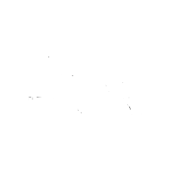 CCOC(=O)[C@@H]1C[C@H]1c1cc(F)c(Br)cn1